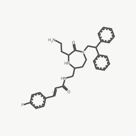 NCCC1NC(CNC(=O)/C=C/c2ccc(F)cc2)CCN(CC(c2ccccc2)c2ccccc2)C1=O